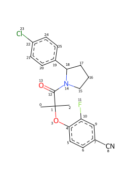 CC(C)(Oc1ccc(C#N)cc1F)C(=O)N1CCCC1c1ccc(Cl)cc1